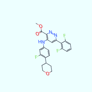 COC(=O)c1nnc(-c2c(F)cccc2F)cc1Nc1ccc(C2CCOCC2)c(F)c1